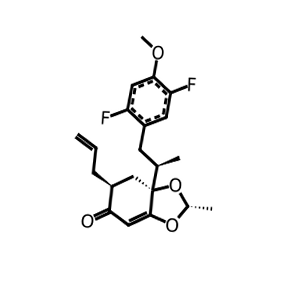 C=CC[C@H]1C[C@]2([C@H](C)Cc3cc(F)c(OC)cc3F)O[C@H](C)OC2=CC1=O